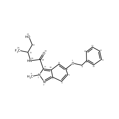 Cn1nc2ccc(OCc3ccccc3)cc2c1C(=O)NC(CO)C(F)(F)F